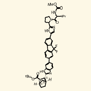 COC(=O)NC(C(=O)N1CCCC1c1ncc(-c2ccc3c(c2)C(F)(F)c2cc(-c4ccc5nc([C@@H]6[C@H]7CC[C@H](C7)N6C(=O)OC(C)(C)C)[nH]c5c4)ccc2-3)[nH]1)C(C)C